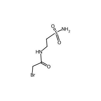 NS(=O)(=O)CCNC(=O)CBr